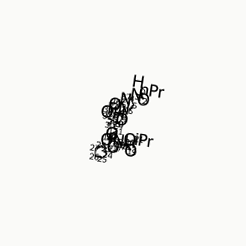 CCCC(=O)Nc1ccn([C@@H]2O[C@H](COP(=O)(N[C@@H](C)C(=O)OC(C)C)Oc3ccccc3)C(C)(CO)C2F)c(=O)n1